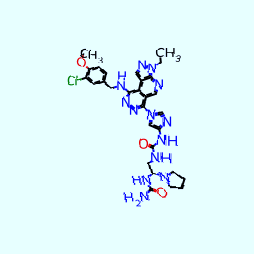 CCn1ncc2c3c(NCc4ccc(OC)c(Cl)c4)nnc(-n4cnc(NC(=O)NCC(NC(N)=O)N5CCCC5)c4)c3cnc21